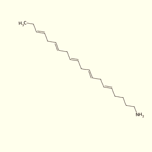 CCC=CCC=CCC=CCC=CCC=CCCCCN